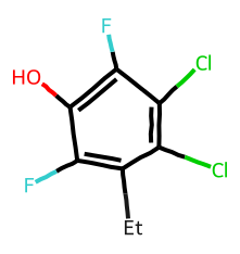 CCc1c(F)c(O)c(F)c(Cl)c1Cl